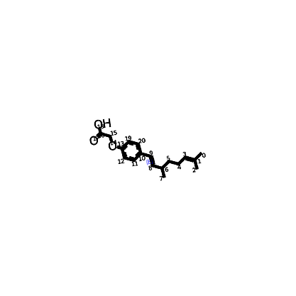 CC(C)=CCCC(C)/C=C/c1ccc(OCC(=O)O)cc1